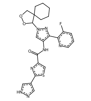 O=C(Nc1cn(C2OOCC23CCCCC3)nc1-c1ncccc1F)c1csc(-c2cn[nH]c2)n1